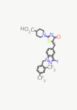 O=C1N=C(N2CCC(C(=O)O)CC2)S/C1=C\c1ccc2c(c1)c(I)nn2Cc1ccc(C(F)(F)F)cc1C(F)(F)F